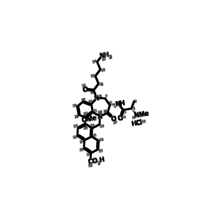 CN[C@@H](C)C(=O)N[C@H]1CN(C(=O)CCCCN)c2ccccc2N(Cc2c(OC)ccc3cc(C(=O)O)ccc23)C1=O.Cl